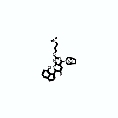 CN(C)CCCOc1nc(N2CC3CCC(C2)N3)c2cc(F)c(-c3cccc4cccc(Cl)c34)nc2n1